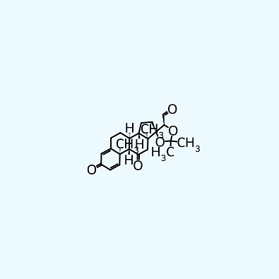 CC1(C)O[C@H](C=O)[C@]2(CC[C@H]3[C@@H]4CCC5=CC(=O)C=C[C@]5(C)[C@H]4C(=O)C[C@@]32C)O1